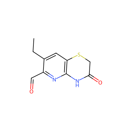 CCc1cc2c(nc1C=O)NC(=O)CS2